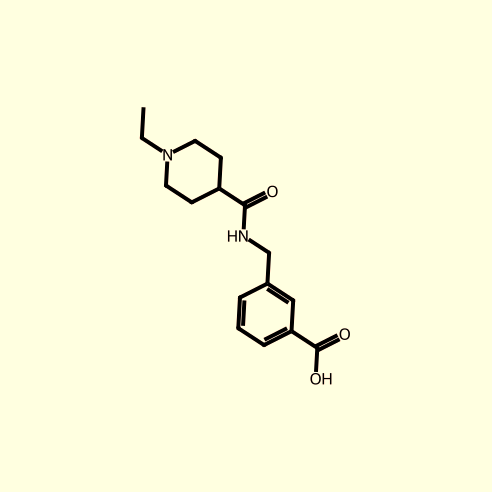 CCN1CCC(C(=O)NCc2cccc(C(=O)O)c2)CC1